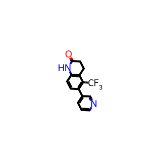 O=C1CCc2c(ccc(-c3cccnc3)c2C(F)(F)F)N1